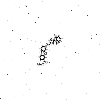 COC(=O)c1ccc(Oc2ccc(OCC3COC(c4c(F)cccc4F)=N3)cc2)c(Cl)c1